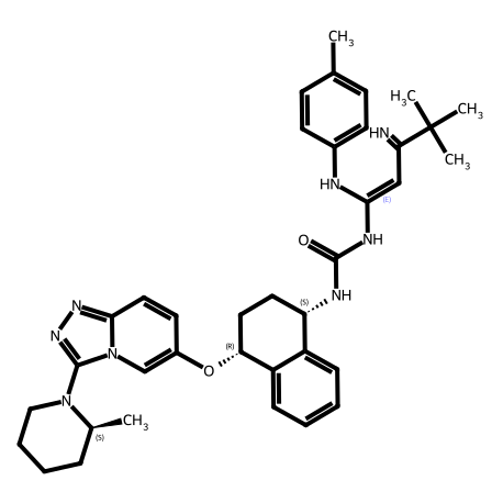 Cc1ccc(N/C(=C\C(=N)C(C)(C)C)NC(=O)N[C@H]2CC[C@@H](Oc3ccc4nnc(N5CCCC[C@@H]5C)n4c3)c3ccccc32)cc1